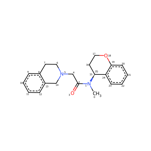 CN(C(=O)CN1CCc2ccccc2C1)[C@H]1CCOc2ccccc21